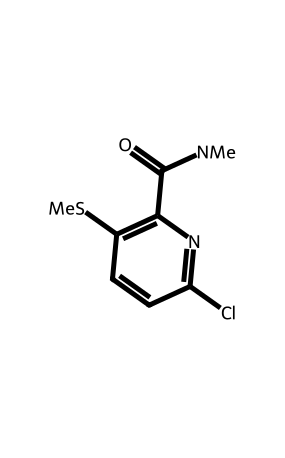 CNC(=O)c1nc(Cl)ccc1SC